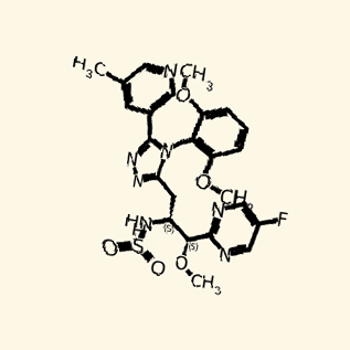 COc1cccc(OC)c1-n1c(C[C@H](N[SH](=O)=O)[C@H](OC)c2ncc(F)cn2)nnc1-c1cncc(C)c1